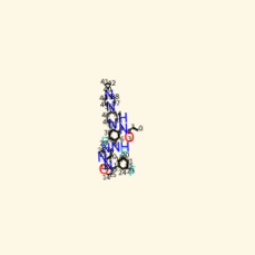 C=CC(=O)Nc1cc(Nc2cc(N3OCCC3c3cc(F)cc(F)c3)ncn2)c(F)cc1N1CCC(N2CCN(C3CC3)CC2)CC1